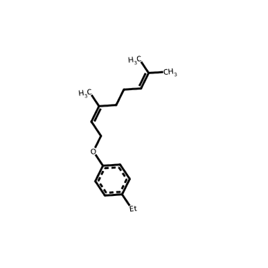 CCc1ccc(OCC=C(C)CCC=C(C)C)cc1